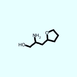 NC(CO)CC1CCCO1